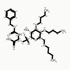 CCCCOC[C@H]1O[C@H](C(F)(F)C[C@@H](NC(=O)OCc2ccccc2)C(=O)O)[C@H](O)[C@@H](OCCCC)[C@H]1OCCCC